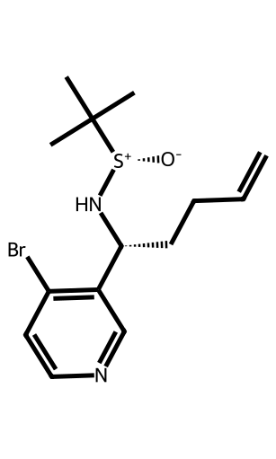 C=CCC[C@@H](N[S@@+]([O-])C(C)(C)C)c1cnccc1Br